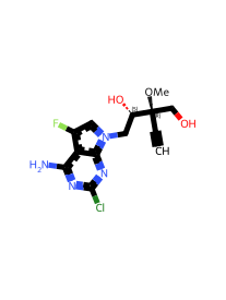 C#C[C@](CO)(OC)[C@@H](O)Cn1cc(F)c2c(N)nc(Cl)nc21